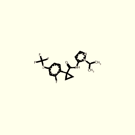 CC(C)n1nc[c]c1NC(=O)C1(c2ccc(OC(F)(F)F)cc2F)CC1